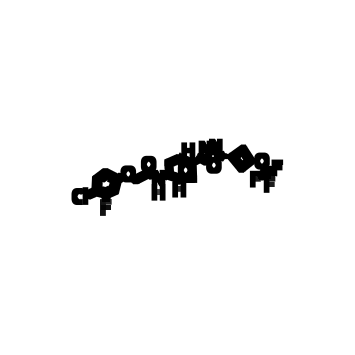 O=C(COc1ccc(Cl)c(F)c1)N[C@H]1C[C@H]2O[C@@H]1C[C@@H]2c1nnc([C@H]2C[C@@H](OC(F)(F)F)C2)o1